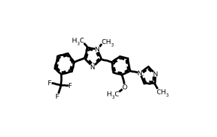 COc1cc(-c2nc(-c3cccc(C(F)(F)F)c3)c(C)n2C)ccc1-n1cnc(C)c1